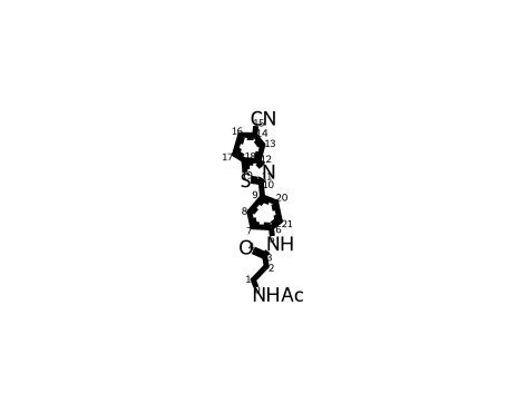 CC(=O)NCCC(=O)Nc1ccc(-c2nc3cc(C#N)ccc3s2)cc1